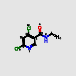 [2H]CNC(=O)c1cnc(Cl)cc1Cl